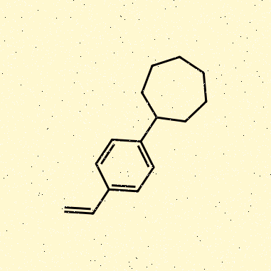 C=Cc1ccc(C2CCCCCC2)cc1